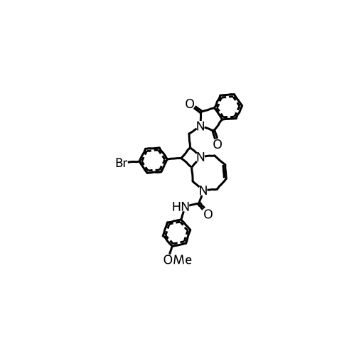 COc1ccc(NC(=O)N2CC=CCN3C(C2)C(c2ccc(Br)cc2)C3CN2C(=O)c3ccccc3C2=O)cc1